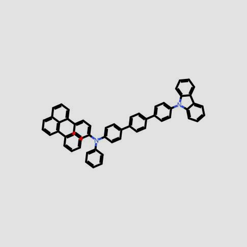 c1ccc(-c2cccc3cccc(-c4ccc(N(c5ccccc5)c5ccc(-c6ccc(-c7ccc(-n8c9ccccc9c9ccccc98)cc7)cc6)cc5)cc4)c23)cc1